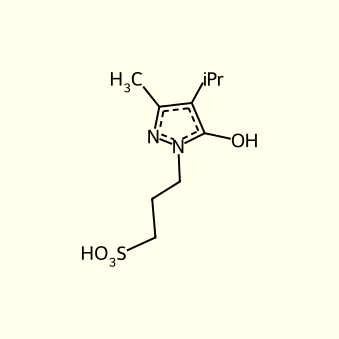 Cc1nn(CCCS(=O)(=O)O)c(O)c1C(C)C